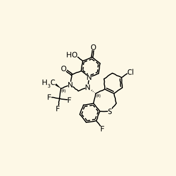 C[C@@H](N1CN([C@@H]2C3=C(C=C(Cl)CC3)CSc3c(F)cccc32)n2ccc(=O)c(O)c2C1=O)C(F)(F)F